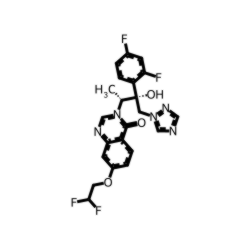 C[C@@H](n1cnc2cc(OCC(F)F)ccc2c1=O)[C@](O)(Cn1cncn1)c1ccc(F)cc1F